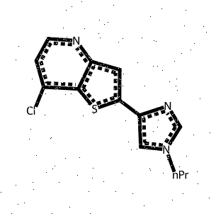 CCCn1cnc(-c2cc3nccc(Cl)c3s2)c1